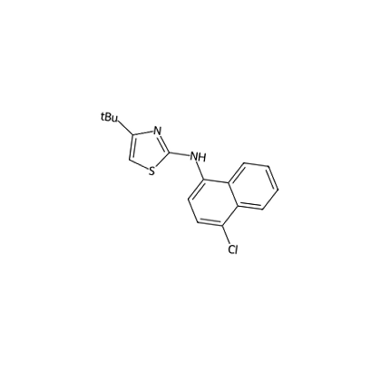 CC(C)(C)c1csc(Nc2ccc(Cl)c3ccccc23)n1